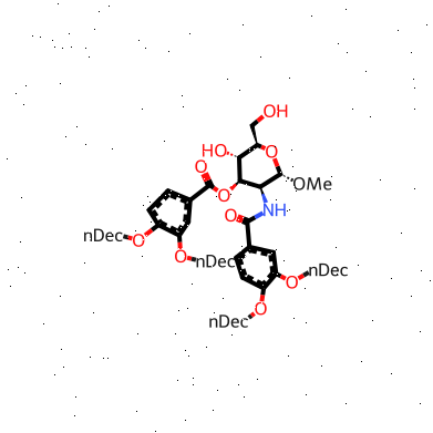 CCCCCCCCCCOc1ccc(C(=O)N[C@@H]2[C@@H](OC)O[C@H](CO)[C@@H](O)[C@@H]2OC(=O)c2ccc(OCCCCCCCCCC)c(OCCCCCCCCCC)c2)cc1OCCCCCCCCCC